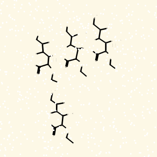 CCOC(C(=O)[O-])C(O)C(O)C(O)CO.CCOC(C(=O)[O-])C(O)C(O)C(O)CO.CCOC(C(=O)[O-])C(O)C(O)C(O)CO.CCOC(C(=O)[O-])C(O)C(O)C(O)CO.[Pb+4]